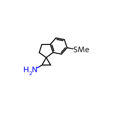 CSc1ccc2c(c1)C1(CC2)CC1N